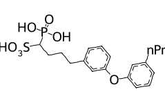 CCCc1cccc(Oc2cccc(CCCC(P(=O)(O)O)S(=O)(=O)O)c2)c1